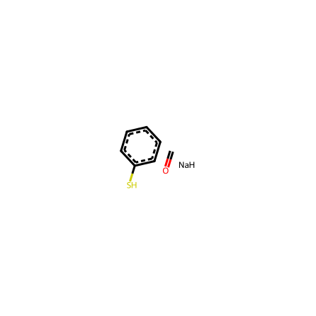 C=O.Sc1ccccc1.[NaH]